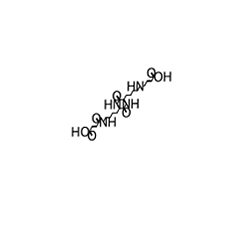 O=C(O)/C=C/CNCCCCC1NC(=O)C(CCCCNC(=O)/C=C/C(=O)O)NC1=O